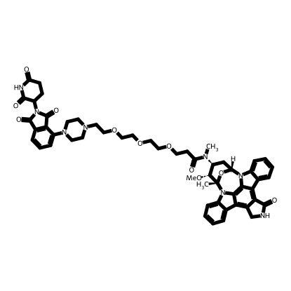 CO[C@@H]1[C@H](N(C)C(=O)CCOCCOCCOCCN2CCN(c3cccc4c3C(=O)N(C3CCC(=O)NC3=O)C4=O)CC2)C[C@H]2O[C@]1(C)n1c3ccccc3c3c4c(c5c6ccccc6n2c5c31)C(=O)NC4